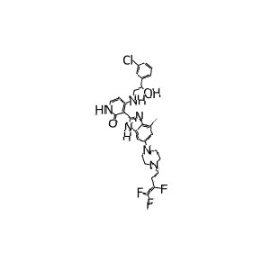 Cc1cc(N2CCN(CCC(F)=C(F)F)CC2)cc2[nH]c(-c3c(NCC(O)c4cccc(Cl)c4)cc[nH]c3=O)nc12